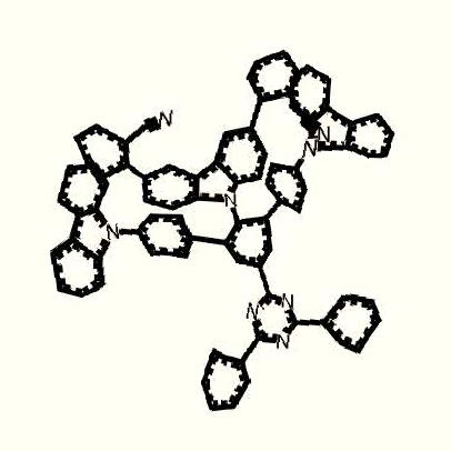 N#Cc1ccccc1-c1ccc2c(c1)c1cc(-c3ccccc3C#N)ccc1n2-c1c(-c2ccc(-n3c4ccccc4c4ccccc43)cc2)cc(-c2nc(-c3ccccc3)nc(-c3ccccc3)n2)cc1-c1ccc(-n2c3ccccc3c3ccccc32)cc1